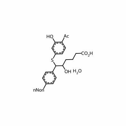 CCCCCCCCCc1ccc(C(Sc2ccc(C(C)=O)c(O)c2)C(O)CCCC(=O)O)cc1.O